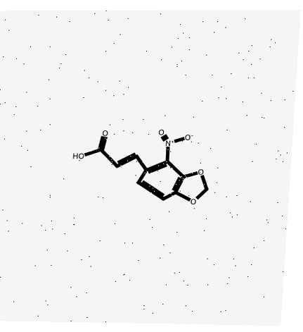 O=C(O)/C=C/c1ccc2c(c1[N+](=O)[O-])OCO2